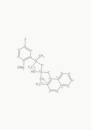 COc1ccc(F)cc1C(C)(CC(C)(O)Cc1c(C)ccc2ccccc12)C(F)(F)F